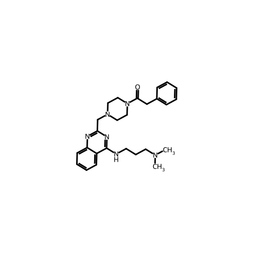 CN(C)CCCNc1nc(CN2CCN(C(=O)Cc3ccccc3)CC2)nc2ccccc12